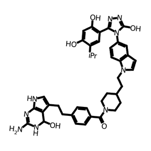 CC(C)c1cc(-c2nnc(O)n2-c2ccc3c(ccn3CCC3CCN(C(=O)c4ccc(CCc5c[nH]c6c5C(O)NC(N)=N6)cc4)CC3)c2)c(O)cc1O